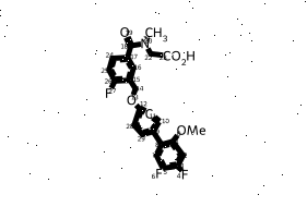 COc1cc(F)c(F)cc1-c1ccc(OCc2cc(C(=O)N(C)CC(=O)O)ccc2F)cc1